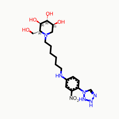 O=[N+]([O-])c1cc(NCCCCCCN2C[C@H](O)[C@@H](O)[C@H](O)[C@H]2CO)ccc1N1C=NNN1